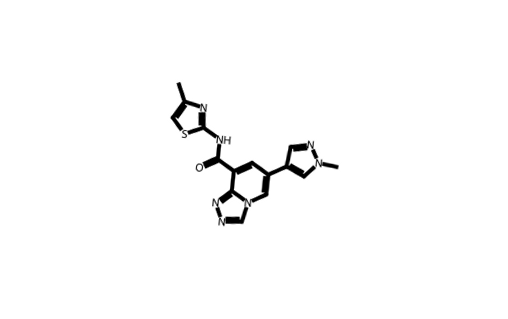 Cc1csc(NC(=O)c2cc(-c3cnn(C)c3)cn3cnnc23)n1